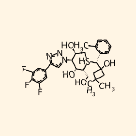 Cc1ccccc1[C@@H]([SH]1C[C@H](O)[C@H](n2cc(-c3cc(F)c(F)c(F)c3)nn2)[C@@H](O)[C@H]1CO)C1(O)CC(C)(C)C1